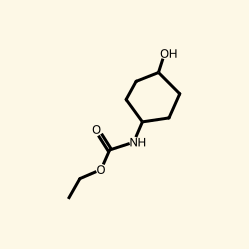 CCOC(=O)NC1CCC(O)CC1